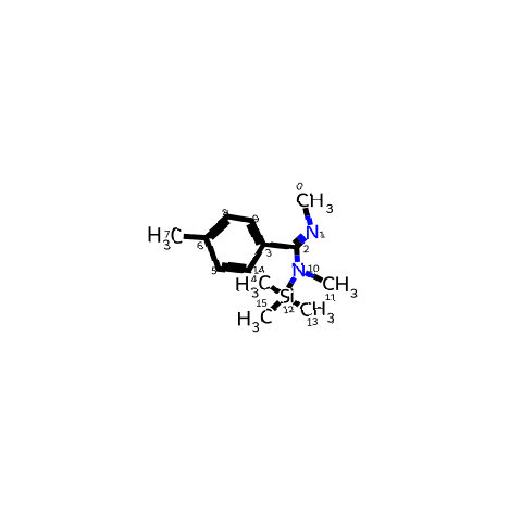 C/N=C(\c1ccc(C)cc1)N(C)[Si](C)(C)C